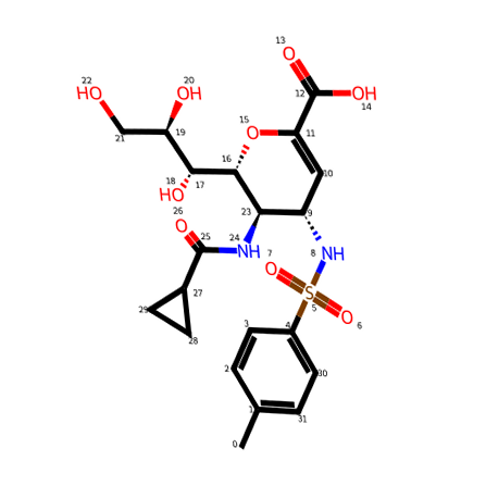 Cc1ccc(S(=O)(=O)N[C@H]2C=C(C(=O)O)O[C@@H]([C@H](O)[C@H](O)CO)[C@@H]2NC(=O)C2CC2)cc1